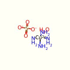 O.O=S(=O)([O-])[O-].[NH2][Cu+2]([NH2])([NH2])[NH2]